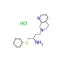 Cl.N[C@H](CCN1CCc2cccnc2C1)CSc1ccccc1